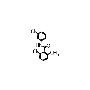 Cc1cccc(Cl)c1C(=O)Nc1cccc(Cl)c1